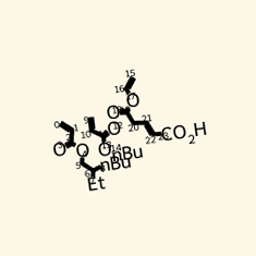 C=CC(=O)OCC(CC)CCCC.C=CC(=O)OCCCC.C=COC(=O)CC=CC(=O)O